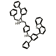 c1ccc(CN2NN(Cc3ccc(Nc4cc(-c5cccc6c5sc5ccccc56)ccc4-c4ccccc4)cc3)C2c2cccc(-c3ccccc3)c2)cc1